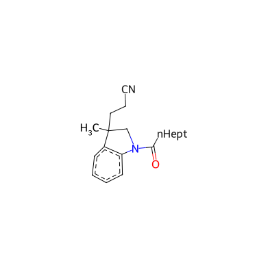 CCCCCCCC(=O)N1CC(C)(CCC#N)c2ccccc21